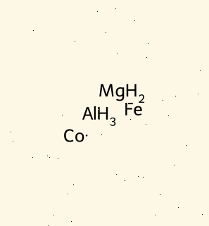 [AlH3].[Co].[Fe].[MgH2]